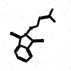 CC(C)=CCON1C(=O)c2ccccc2C1=O